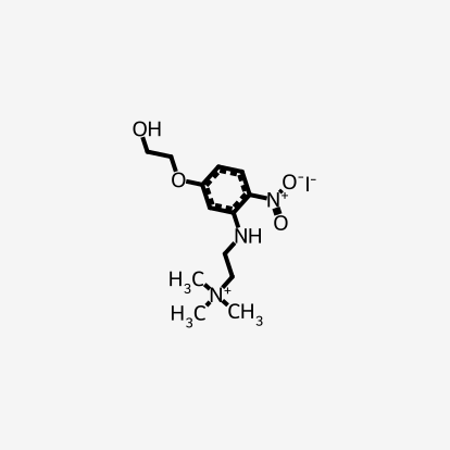 C[N+](C)(C)CCNc1cc(OCCO)ccc1[N+](=O)[O-].[I-]